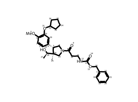 COc1ccc([C@@H]2CN(C(=O)CCNC(=O)OCc3ccccc3)C[C@@]2(C)[C@@H](C)O)cc1OC1CCCC1